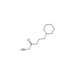 [NH]CC(=O)CCCC1CCCCC1